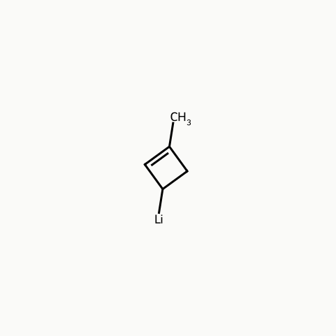 [Li][CH]1C=C(C)C1